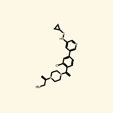 C=C(CC(C)(C)C)N1CCN(C(=C)c2ccc(-c3cncc(NSC4CC4)c3)cc2Cl)CC1